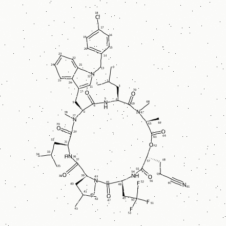 CC(C)C[C@@H]1NC(=O)[C@H](Cc2cn(Cc3ccc(Cl)cc3)c3ccccc23)N(C)C(=O)[C@H](CC(C)C)NC(=O)[C@H](CC(C)C)N(C)C(=O)[C@H](CC(F)(F)F)NC(=O)[C@@H](CCC#N)OC(=O)[C@H](C)N(C)C1=O